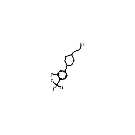 Fc1cc(C2CCC(CCBr)CC2)ccc1C(F)(F)Cl